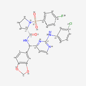 O=C(NC(c1ccc2c(c1)OCO2)c1ccnc(Nc2cccc(Cl)c2)n1)[C@@H]1CCCN1S(=O)(=O)c1ccc(F)cc1